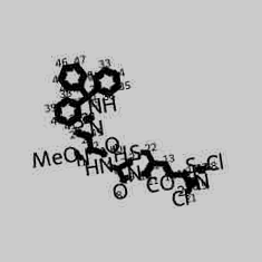 CON=C(C(=O)NC1C(=O)N2C(C(=O)O)=C(C=Cc3sc(Cl)nc3Cl)CS[C@@H]12)c1csc(NC(c2ccccc2)(c2ccccc2)c2ccccc2)n1